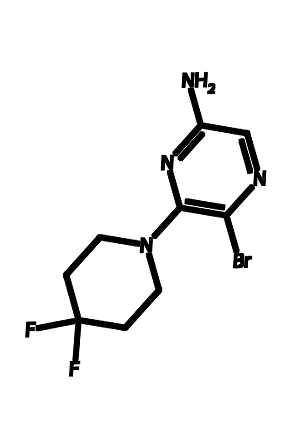 Nc1cnc(Br)c(N2CCC(F)(F)CC2)n1